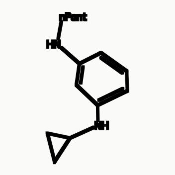 CCCCCNc1cccc(NC2CC2)c1